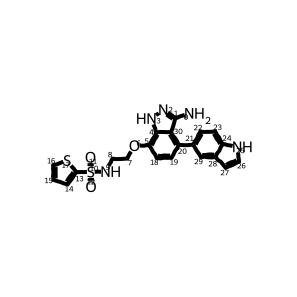 Nc1n[nH]c2c(OCCNS(=O)(=O)c3cccs3)ccc(-c3ccc4[nH]ccc4c3)c12